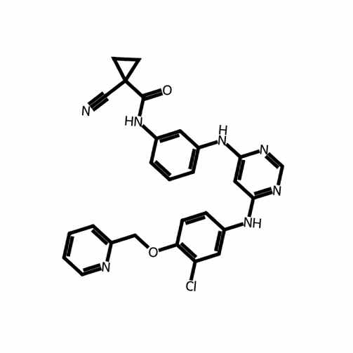 N#CC1(C(=O)Nc2cccc(Nc3cc(Nc4ccc(OCc5ccccn5)c(Cl)c4)ncn3)c2)CC1